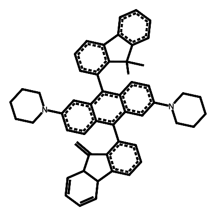 C=C1c2c(-c3c4cc(N5CCCCC5)ccc4c(-c4cccc5c4C(C)(C)c4ccccc4-5)c4cc(N5CCCCC5)ccc34)cccc2C2C=CC=CC12